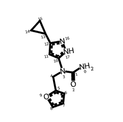 NC(=O)N(Cc1ccco1)c1cc(C2CC2)n[nH]1